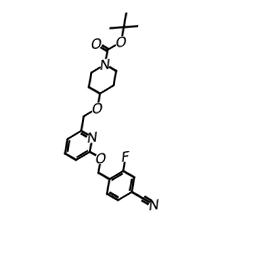 CC(C)(C)OC(=O)N1CCC(OCc2cccc(OCc3ccc(C#N)cc3F)n2)CC1